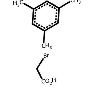 Cc1cc(C)cc(C)c1.O=C(O)CBr